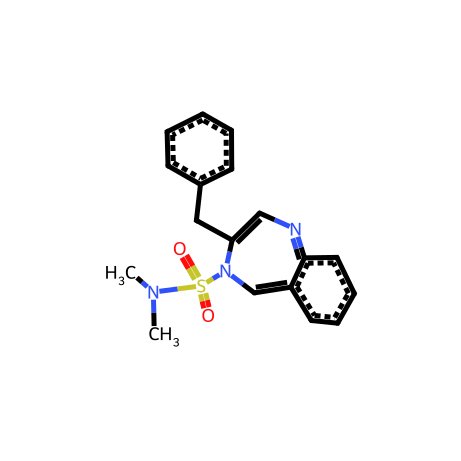 CN(C)S(=O)(=O)N1C=c2ccccc2=NC=C1Cc1ccccc1